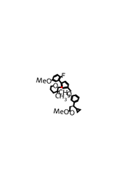 COC(=O)C[C@@H](c1cccc(OCc2ccc(-c3cc(OC)ccc3F)c(C3OCCCC3(C)C)c2)c1)C1CC1